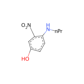 CCCNc1ccc(O)cc1[N+](=O)[O-]